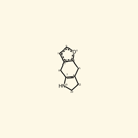 c1cc2c(o1)CC1=C(C2)NCC1